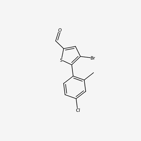 Cc1cc(Cl)ccc1-c1sc(C=O)cc1Br